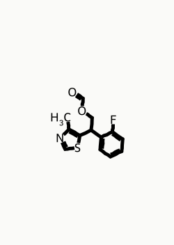 Cc1ncsc1C(COC=O)c1ccccc1F